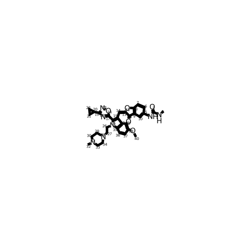 CNC(=O)Nc1ccc2c(c1)C(=O)C(=Cc1c(-c3nc(C4CC4)no3)n(CCN3CCN(C)CC3)c3ccc(OC)cc13)O2